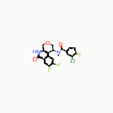 CN(C(=O)c1ccc(F)c(Cl)c1)C1COCc2[nH]c(=O)c3cc(F)c(F)cc3c21